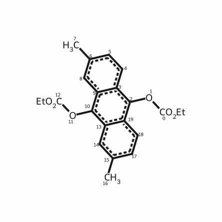 CCOC(=O)Oc1c2ccc(C)cc2c(OC(=O)OCC)c2cc(C)ccc12